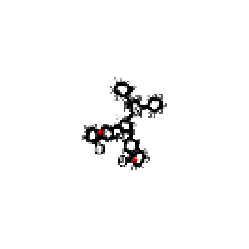 O=C1c2cc3c(cc2C2CCC1CC2)c1cc(-c2nc(-c4ccccc4)cc(-c4ccccc4)n2)cc2c4cc5c(cc4n3c12)C(=O)C1CCC5CC1